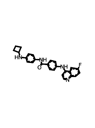 O=C(Nc1ccc(NC2CCC2)cc1)c1ccc(Nc2ccnc3ccc(F)cc23)cc1